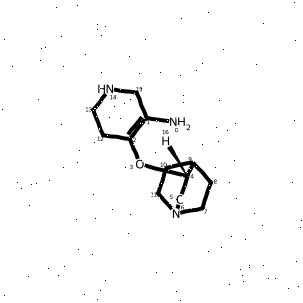 NC1=C(O[C@H]2CN3CCC2CC3)CCNC1